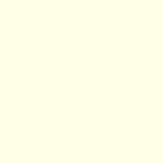 O=C(O)C(C(=O)O)C1=CSCSC1